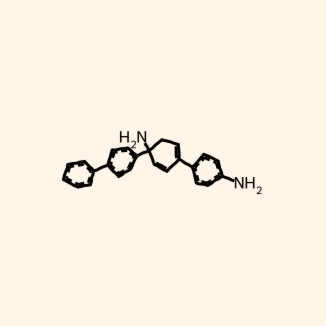 Nc1ccc(C2=CCC(N)(c3ccc(-c4ccccc4)cc3)C=C2)cc1